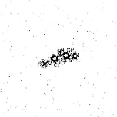 CC(F)(F)c1sc2cncn2c1C(O)c1cn(-c2ccc(OCC3(F)COC3)c(Cl)c2)nn1